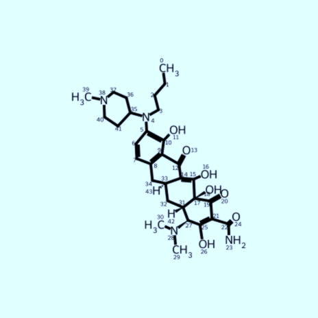 CCCCN(c1ccc2c(c1O)C(=O)C1=C(O)[C@]3(O)C(=O)C(C(N)=O)=C(O)[C@@H](N(C)C)[C@@H]3C[C@H]1C2)C1CCN(C)CC1